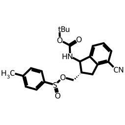 Cc1ccc(S(=O)OC[C@H]2Cc3c(C#N)cccc3C2NC(=O)OC(C)(C)C)cc1